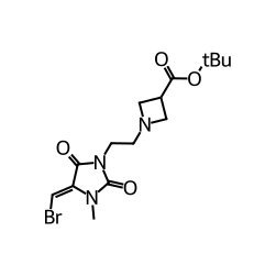 CN1C(=O)N(CCN2CC(C(=O)OC(C)(C)C)C2)C(=O)/C1=C/Br